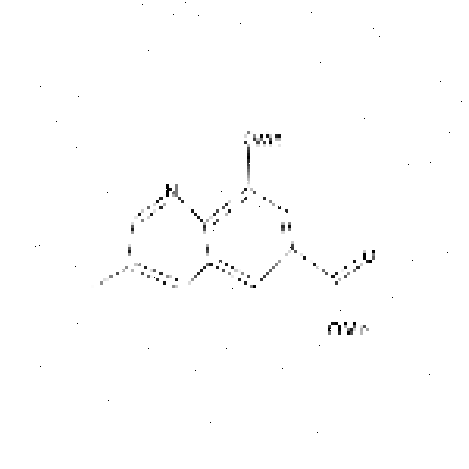 COC(=O)c1cc(OC)c2ncc(C)cc2c1